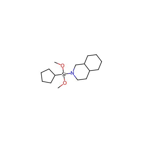 CO[Si](OC)(C1CCCC1)N1CCC2CCCCC2C1